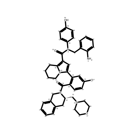 Nc1ccccc1CN(C(=O)c1cc(-c2cc(Cl)ccc2C(=O)N2Cc3ccccc3C[C@H]2CN2CCOCC2)n2c1CCCC2)c1ccc(O)cc1